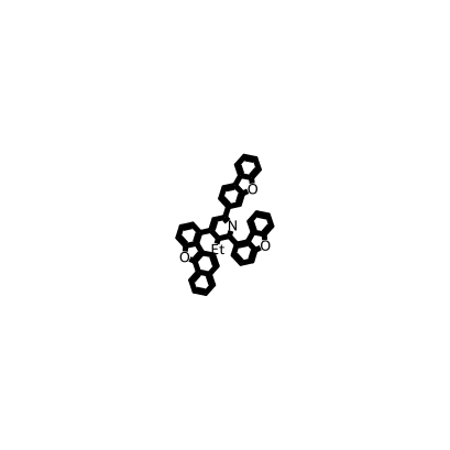 CCC1C(c2cccc3oc4c5ccccc5ccc4c23)=CC(c2ccc3c(c2)oc2ccccc23)=NC1c1cccc2oc3ccccc3c12